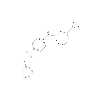 O=C(c1ccc(S(=O)(=O)Nc2nccs2)cc1)N1CCOC(C2CC2)C1